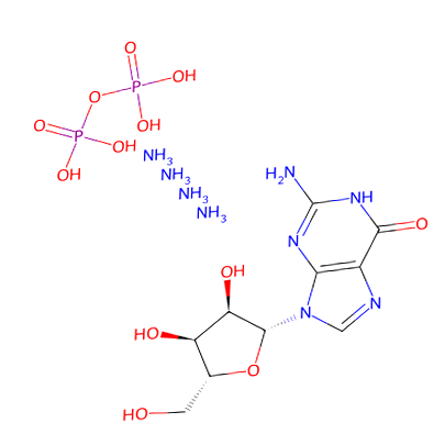 N.N.N.N.Nc1nc2c(ncn2[C@@H]2O[C@H](CO)[C@@H](O)[C@H]2O)c(=O)[nH]1.O=P(O)(O)OP(=O)(O)O